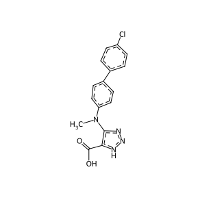 CN(c1ccc(-c2ccc(Cl)cc2)cc1)c1nn[nH]c1C(=O)O